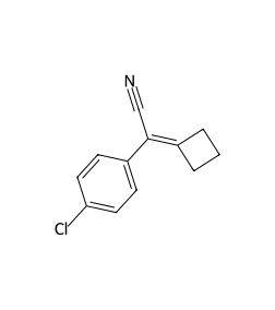 N#CC(=C1CCC1)c1ccc(Cl)cc1